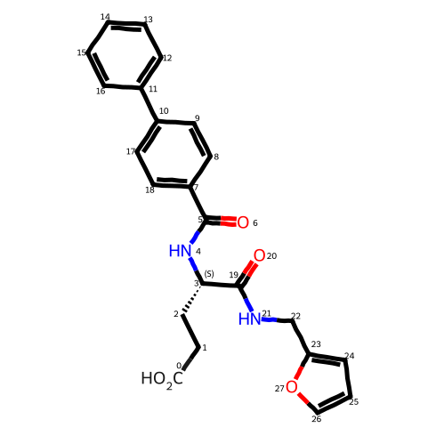 O=C(O)CC[C@H](NC(=O)c1ccc(-c2ccccc2)cc1)C(=O)NCc1ccco1